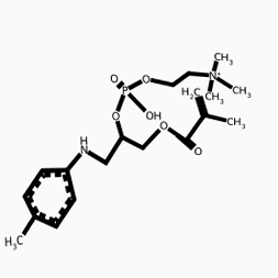 C=C(C)C(=O)OCC(CNc1ccc(C)cc1)OP(=O)(O)OCC[N+](C)(C)C